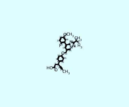 CC#CC(CC(=O)O)c1ccc(OCc2cc(-c3cc(OC)ccc3F)c3nc(C(C)C)nn3c2)cc1